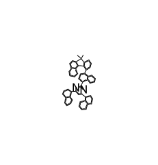 CC1(C)c2cccc(-c3ccc(-c4nc(-c5cccc6ccccc56)cc(-c5cccc6ccccc56)n4)c4ccccc34)c2-c2c1ccc1ccccc21